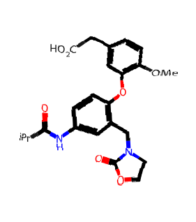 COc1ccc(CC(=O)O)cc1Oc1ccc(NC(=O)C(C)C)cc1CN1CCOC1=O